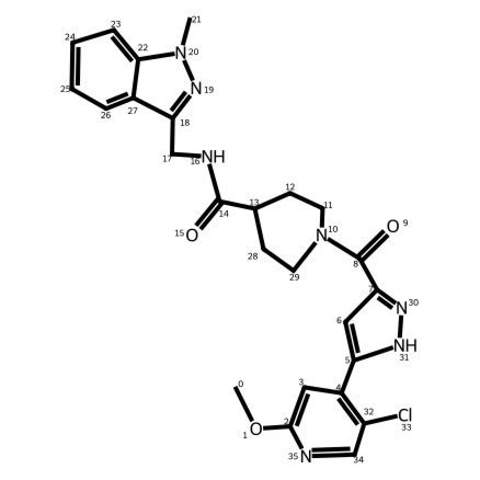 COc1cc(-c2cc(C(=O)N3CCC(C(=O)NCc4nn(C)c5ccccc45)CC3)n[nH]2)c(Cl)cn1